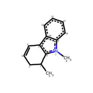 CC1CC=Cc2c1n(C)c1ccccc21